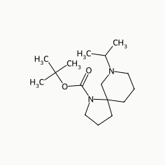 CC(C)N1CCCC2(CCCN2C(=O)OC(C)(C)C)C1